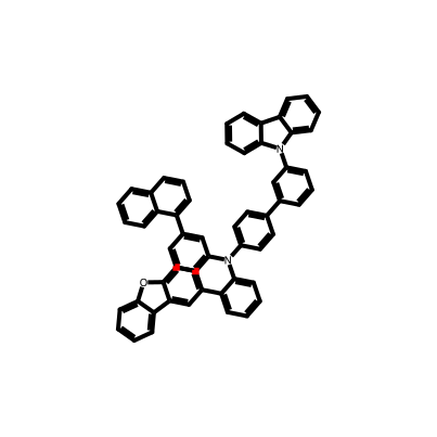 c1cc(-c2cccc3ccccc23)cc(N(c2ccc(-c3cccc(-n4c5ccccc5c5ccccc54)c3)cc2)c2ccccc2-c2ccc3oc4ccccc4c3c2)c1